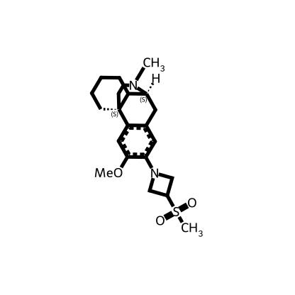 COc1cc2c(cc1N1CC(S(C)(=O)=O)C1)C[C@H]1C3CCCC[C@@]23CCN1C